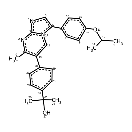 Cc1nc2ncc(-c3ccc(OC(C)C)cc3)n2cc1-c1ccc(C(C)(C)O)cc1